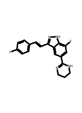 Fc1ccc(/C=C/c2n[nH]c3c(F)cc(C4=NCCCN4)cc23)cc1